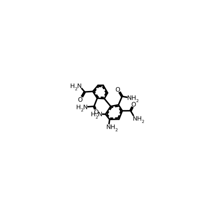 NC(=O)c1cccc(-c2c(N)c(N)cc(C(N)=O)c2C(N)=O)c1C(N)=O